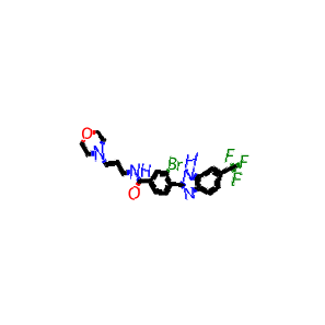 O=C(NCCCN1CCOCC1)c1ccc(-c2nc3ccc(C(F)(F)F)cc3[nH]2)c(Br)c1